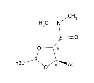 CCCCB1O[C@H](C(C)=O)[C@@H](C(=O)N(C)C)O1